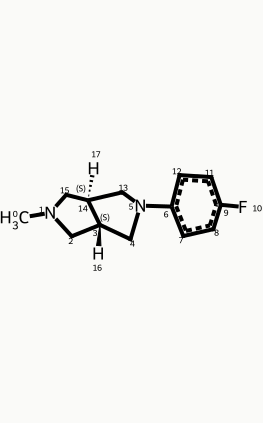 CN1C[C@H]2CN(c3ccc(F)cc3)C[C@@H]2C1